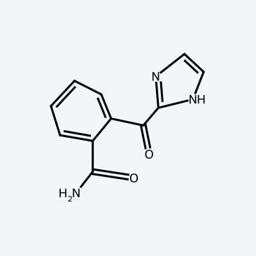 NC(=O)c1ccccc1C(=O)c1ncc[nH]1